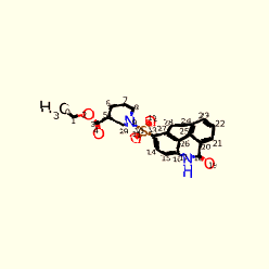 CCOC(=O)C1CCCN(S(=O)(=O)c2ccc3[nH]c(=O)c4cccc5c4c3c2C5)C1